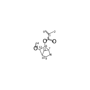 C=C(C)C(=O)OC1C2CCC(C2)C1OC